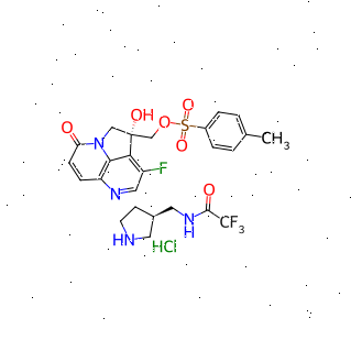 Cc1ccc(S(=O)(=O)OC[C@]2(O)Cn3c(=O)ccc4ncc(F)c2c43)cc1.Cl.O=C(NC[C@@H]1CCNC1)C(F)(F)F